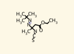 CCOC(=O)CC(C)(N=C=S)/N=N/C(C)(C)C